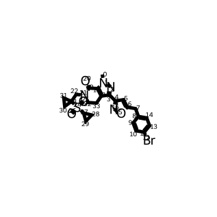 Cn1nc(-c2cc(Cc3ccc(Br)cc3)on2)c2c1C(=O)N(CC1(S(=O)(=O)C3CC3)CC1)CC2